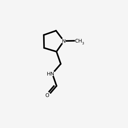 CN1CCCC1CNC=O